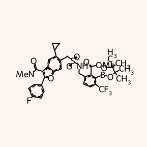 CNC(=O)c1c(-c2ccc(F)cc2)oc2cc(CS(=O)(=O)NCc3ccc(C(F)(F)F)c(B4OC(C)(C)C(C)(C)O4)c3C(=O)OC)c(C3CC3)cc12